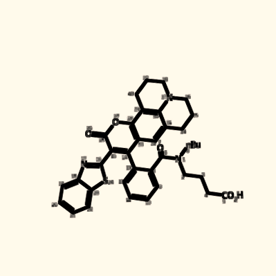 CCCCN(CCCC(=O)O)C(=O)c1ccccc1-c1c(-c2nc3ccccc3s2)c(=O)oc2c3c4c(cc12)CCCN4CCC3